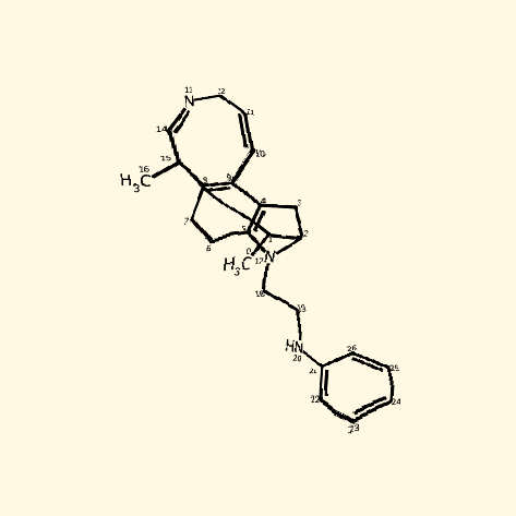 CC1C2CC3=C(CCC4=C3/C=C\C/N=C\C41C)N2CCNc1ccccc1